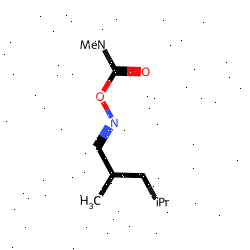 CNC(=O)O/N=C/C(C)CC(C)C